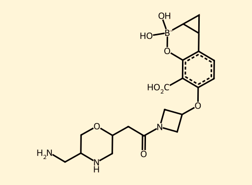 NCC1COC(CC(=O)N2CC(Oc3ccc4c(c3C(=O)O)O[B-](O)(O)C3CC43)C2)CN1